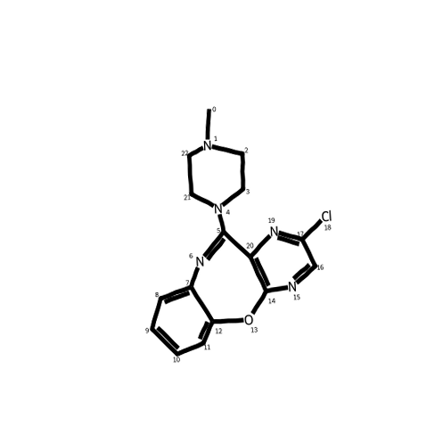 CN1CCN(C2=Nc3ccccc3Oc3ncc(Cl)nc32)CC1